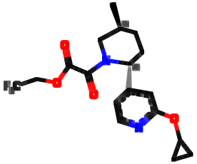 C[C@H]1CC[C@H](c2ccnc(OC3CC3)c2)N(C(=O)C(=O)OCC(F)(F)F)C1